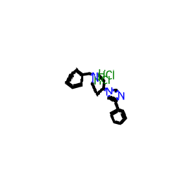 Cl.Cl.c1ccc(CN2CCC(n3cnc(-c4ccccc4)c3)CC2)cc1